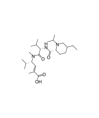 CCC1CC[C@H](C(=O)N[C@H](C(=O)N(C)[C@H](/C=C(\C)C(=O)O)C(C)C)C(C)C)N(C(C)C)C1